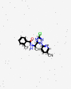 CC(NC(=O)c1ccccc1C(F)(F)F)c1nc(Cl)nn1-c1ccc(C#N)cn1